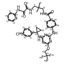 CC(C)(CNC(=O)C(=O)Nc1ccccn1)CNC(=O)c1ccc(Nc2nc(NC3(c4ccc(Cl)cc4)CC3)nc(OCC(F)(F)F)n2)cc1